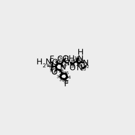 C[C@]1(C(N)=O)COc2c1cc(C(O)(CNC(=O)c1c[nH]c3nccnc13)C(F)(F)F)nc2-c1ccc(F)cc1